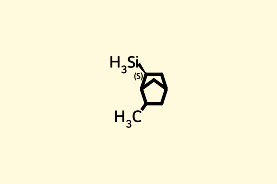 CC1CC2CC1[C@@H]([SiH3])C2